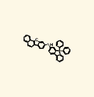 c1ccc(C2(c3ccccc3)c3ccccc3-c3ccc(Nc4ccc5c(c4)oc4c6ccccc6ccc54)cc32)cc1